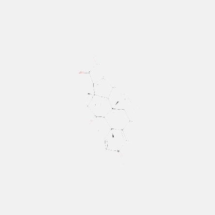 C[C@]12C=CC(=O)C=C1CC[C@@H]1[C@@H]2C(=O)C[C@@]2(C)[C@H]1CC[C@]2(O)C(=O)CO.O=S(=O)(O)O